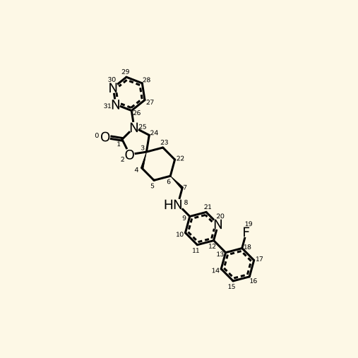 O=C1O[C@]2(CC[C@H](CNc3ccc(-c4ccccc4F)nc3)CC2)CN1c1cccnn1